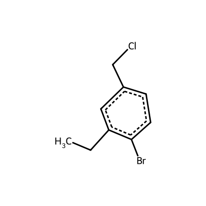 CCc1cc(CCl)ccc1Br